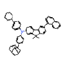 CC1(C)c2ccc(-c3cccc4ccccc34)cc2-c2ccc(N(c3ccc(C4CCCCC4)cc3)c3ccc(C45CC6CC(CC(C6)C4)C5)cc3)cc21